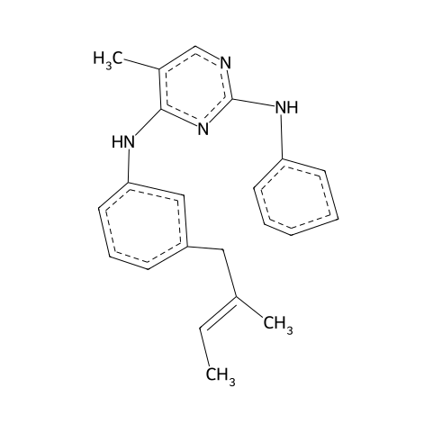 CC=C(C)Cc1cccc(Nc2nc(Nc3ccccc3)ncc2C)c1